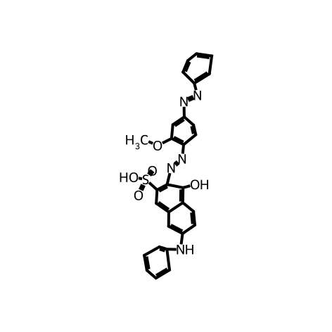 COc1cc(N=Nc2ccccc2)ccc1N=Nc1c(S(=O)(=O)O)cc2cc(Nc3ccccc3)ccc2c1O